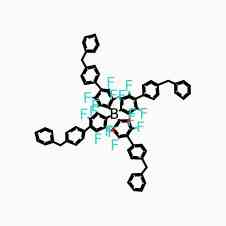 Fc1c(F)c([B-](c2c(F)c(F)c(-c3ccc(Cc4ccccc4)cc3)c(F)c2F)(c2c(F)c(F)c(-c3ccc(Cc4ccccc4)cc3)c(F)c2F)c2c(F)c(F)c(-c3ccc(Cc4ccccc4)cc3)c(F)c2F)c(F)c(F)c1-c1ccc(Cc2ccccc2)cc1